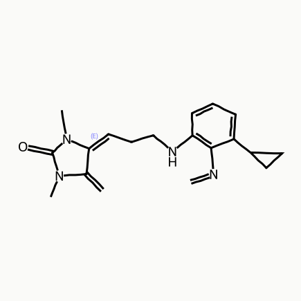 C=Nc1c(NCC/C=c2\c(=C)n(C)c(=O)n2C)cccc1C1CC1